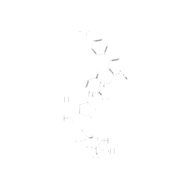 C=N/C(=C\C(=C/C)c1ccc(C(F)(F)F)cc1)Cn1c(=O)ccn([C@@H]2O[C@H](COP(=O)(O)OP(=O)(O)O)C(O)C2O)c1=O